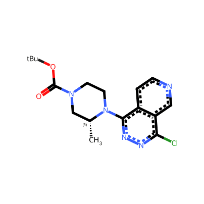 C[C@@H]1CN(C(=O)OC(C)(C)C)CCN1c1nnc(Cl)c2cnccc12